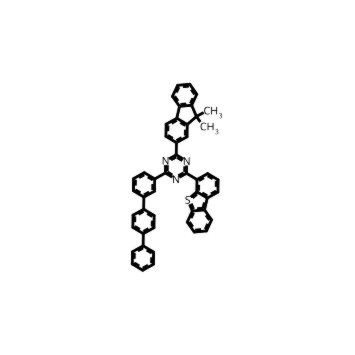 CC1(C)c2ccccc2-c2ccc(-c3nc(-c4cccc(-c5ccc(-c6ccccc6)cc5)c4)nc(-c4cccc5c4sc4ccccc45)n3)cc21